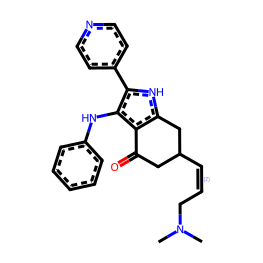 CN(C)C/C=C\C1CC(=O)c2c([nH]c(-c3ccncc3)c2Nc2ccccc2)C1